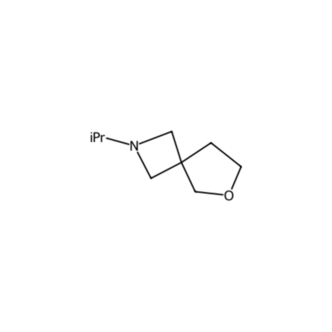 CC(C)N1CC2(CCOC2)C1